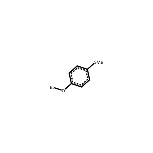 [CH2]COc1ccc(SC)cc1